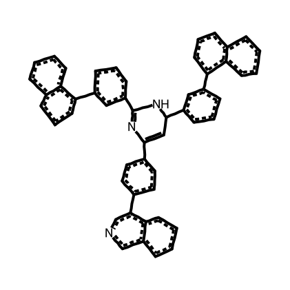 C1=C(c2ccc(-c3cncc4ccccc34)cc2)N=C(c2cccc(-c3cccc4ccccc34)c2)NC1c1cccc(-c2cccc3ccccc23)c1